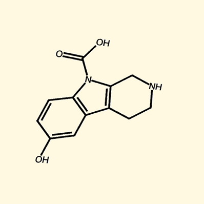 O=C(O)n1c2c(c3cc(O)ccc31)CCNC2